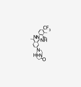 Cc1c([C@@H](C)Nc2nnc(C)c3ccc(N4CCN5C(=O)CC[C@H]5C4)cc23)cccc1C(F)(F)F